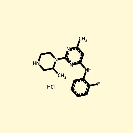 Cc1cc(Nc2ccccc2F)nc(N2CCNCC2C)n1.Cl